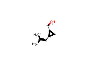 CC(C)=C[C@@H]1C[C@H]1CO